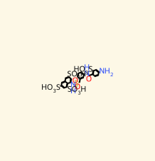 Nc1ccc(C(=O)Nc2cccc(CS(=O)(=O)Nc3cc(S(=O)(=O)O)cc4cc(S(=O)(=O)O)cc(S(=O)(=O)O)c34)c2)c(S(=O)(=O)O)c1